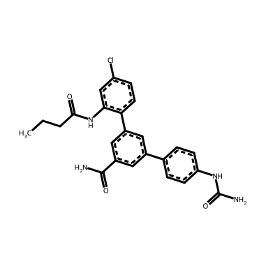 CCCC(=O)Nc1cc(Cl)ccc1-c1cc(C(N)=O)cc(-c2ccc(NC(N)=O)cc2)c1